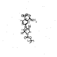 CC(C)(C)OC(=O)N1C[C@@H]2C[C@H]1CN2c1cc(C(N)=O)c([N+](=O)[O-])cn1